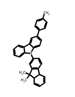 Cc1ccc(-c2ccc3c(c2)c2ccccc2n3-c2ccc3c(c2)C(C)(C)C2C=CC=CC32)cc1